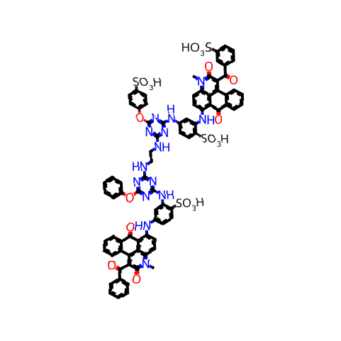 Cn1c(=O)c(C(=O)c2ccccc2)c2c3c(c(Nc4ccc(S(=O)(=O)O)c(Nc5nc(NCCNc6nc(Nc7ccc(S(=O)(=O)O)c(Nc8ccc9c%10c8C(=O)c8ccccc8-c%10c(C(=O)c8cccc(S(=O)(=O)O)c8)c(=O)n9C)c7)nc(Oc7ccc(S(=O)(=O)O)cc7)n6)nc(Oc6ccccc6)n5)c4)ccc31)C(=O)c1ccccc1-2